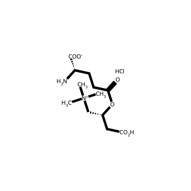 C[N+](C)(C)C[C@@H](CC(=O)O)OC(=O)CC[C@H](N)C(=O)[O-].Cl